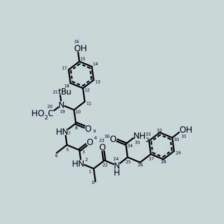 CC(NC(=O)C(C)NC(=O)C(Cc1ccc(O)cc1)N(C(=O)O)C(C)(C)C)C(=O)NC(Cc1ccc(O)cc1)C(N)=O